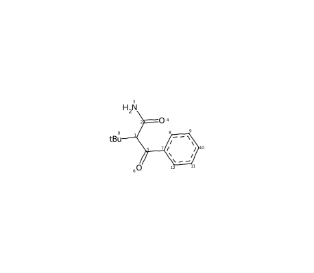 CC(C)(C)C(C(N)=O)C(=O)c1ccccc1